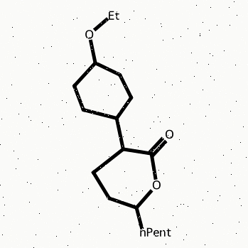 CCCCCC1CCC(C2CCC(OCC)CC2)C(=O)O1